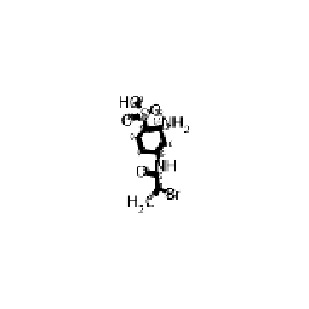 C=C(Br)C(=O)Nc1ccc(S(=O)(=O)O)c(N)c1